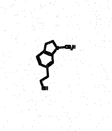 O=C(O)N1CCc2ccc(CCO)cc21